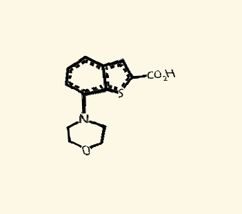 O=C(O)c1cc2cccc(N3CCOCC3)c2s1